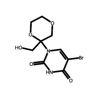 O=c1[nH]c(=O)n(C2(CO)COCCO2)cc1Br